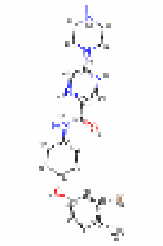 N#Cc1ccc(O[C@H]2CC[C@H](NC(=O)c3cnc(N4CCNCC4)cn3)CC2)cc1Br